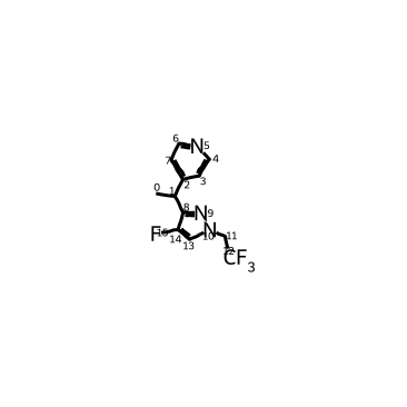 CC(c1ccncc1)c1nn(CC(F)(F)F)cc1F